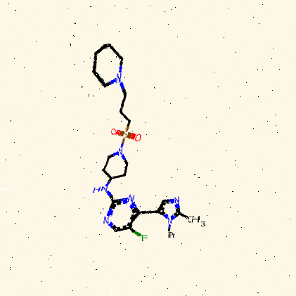 Cc1ncc(-c2nc(NC3CCN(S(=O)(=O)CCCN4CCCCC4)CC3)ncc2F)n1C(C)C